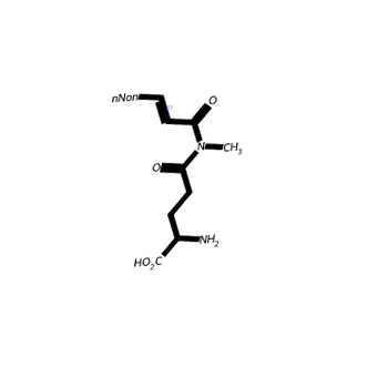 CCCCCCCCC/C=C/C(=O)N(C)C(=O)CCC(N)C(=O)O